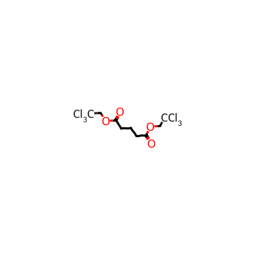 O=C(CCCC(=O)OCC(Cl)(Cl)Cl)OCC(Cl)(Cl)Cl